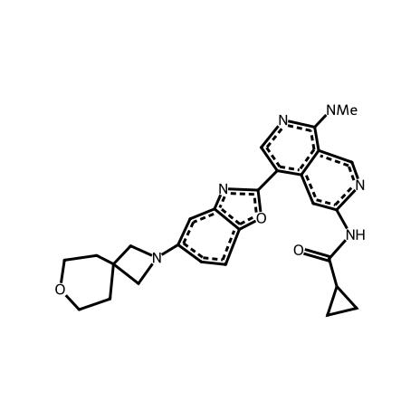 CNc1ncc(-c2nc3cc(N4CC5(CCOCC5)C4)ccc3o2)c2cc(NC(=O)C3CC3)ncc12